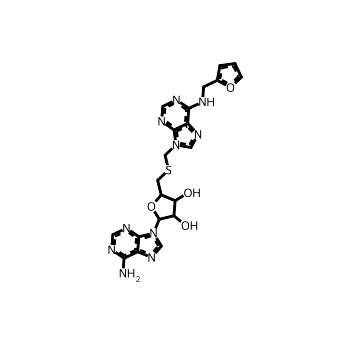 Nc1ncnc2c1ncn2C1OC(CSCn2cnc3c(NCc4ccco4)ncnc32)C(O)C1O